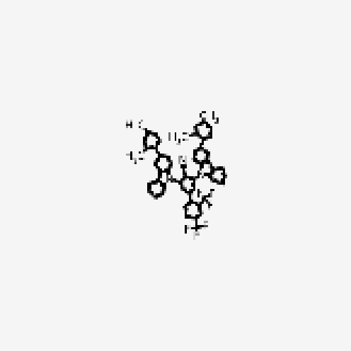 Cc1ccc(-c2ccc3c(c2)c2ccccc2n3-c2cc(-c3ccc(C(F)(F)F)cc3C(F)(F)F)cc(-n3c4ccccc4c4cc(-c5ccc(C)cc5C)ccc43)c2C#N)c(C)c1